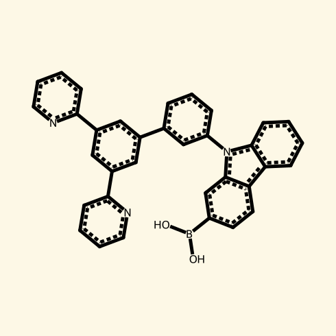 OB(O)c1ccc2c3ccccc3n(-c3cccc(-c4cc(-c5ccccn5)cc(-c5ccccn5)c4)c3)c2c1